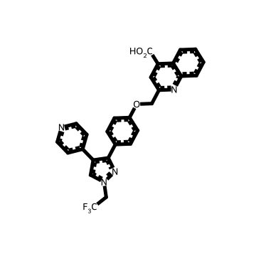 O=C(O)c1cc(COc2ccc(-c3nn(CC(F)(F)F)cc3-c3ccncc3)cc2)nc2ccccc12